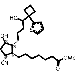 COC(=O)CCCCCC[C@@H]1[C@@H](CCCC(O)C2(c3cccs3)CCC2)[C@H](O)C[C@H]1C#N